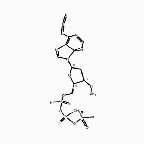 [N-]=[N+]=Nc1ncnc2c1ncn2[C@H]1C[C@@H](ON)[C@@H](COP(=O)(O)OP(=O)(O)OP(=O)(O)O)O1